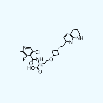 Cc1ncc(Cl)c(C(=O)N[C@@H](CCO[C@H]2C[C@@H](CCc3ccc4c(n3)NCCC4)C2)C(=O)O)c1F